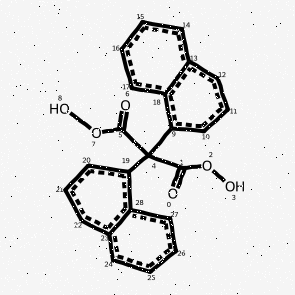 O=C(OO)C(C(=O)OO)(c1cccc2ccccc12)c1cccc2ccccc12